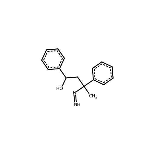 CC(CC(O)c1ccccc1)(N=N)c1ccccc1